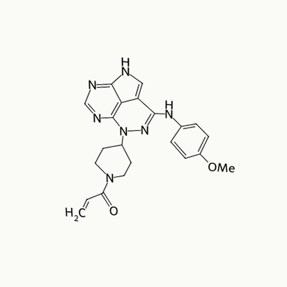 C=CC(=O)N1CCC(N2N=C(Nc3ccc(OC)cc3)c3c[nH]c4ncnc2c34)CC1